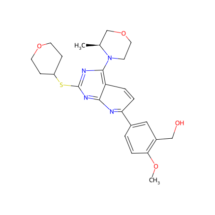 COc1ccc(-c2ccc3c(N4CCOC[C@@H]4C)nc(SC4CCOCC4)nc3n2)cc1CO